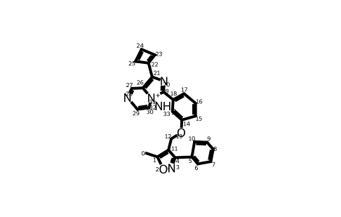 Cc1onc(-c2ccccc2)c1COc1cccc(C2=NC(C3=CC=C3)=C3C=NC=C[N+]23N)c1